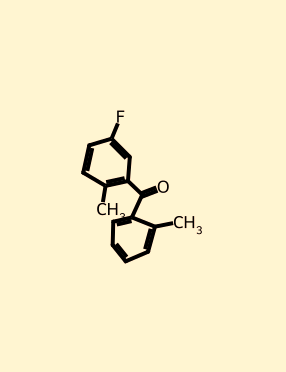 Cc1ccccc1C(=O)c1cc(F)ccc1C